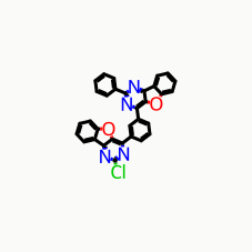 Clc1nc(-c2cccc(-c3nc(-c4ccccc4)nc4c3oc3ccccc34)c2)c2oc3ccccc3c2n1